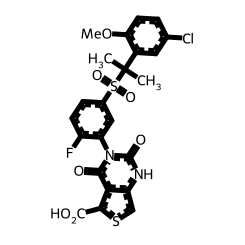 COc1ccc(Cl)cc1C(C)(C)S(=O)(=O)c1ccc(F)c(-n2c(=O)[nH]c3csc(C(=O)O)c3c2=O)c1